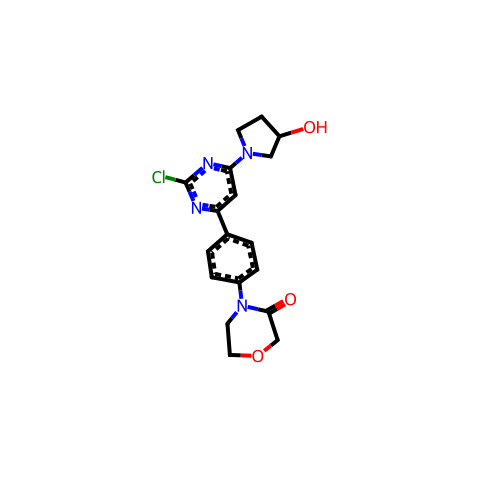 O=C1COCCN1c1ccc(-c2cc(N3CCC(O)C3)nc(Cl)n2)cc1